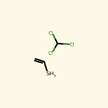 C=C[SiH3].ClC(Cl)Cl